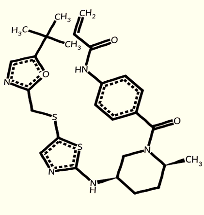 C=CC(=O)Nc1ccc(C(=O)N2C[C@H](Nc3ncc(SCc4ncc(C(C)(C)C)o4)s3)CC[C@@H]2C)cc1